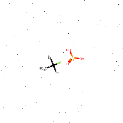 CCC(F)(CC)C(=O)O.O=[PH](O)O